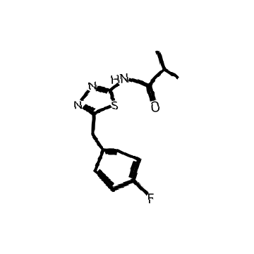 CC(C)C(=O)Nc1nnc(Cc2ccc(F)cc2)s1